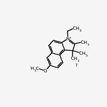 CC[N+]1=C(C)C(C)(C)c2c1ccc1cc(OC)ccc21.[I-]